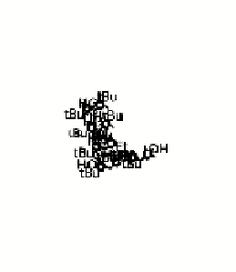 CC(C)(C)c1cc(Cc2cc(C(C)(C)C)c(O)c(C(C)(C)C)c2)cc(C(C)(C)C)c1O.CCc1cc(Cc2cc(CC)cc(C(C)(C)C)c2O)c(O)c(C(C)(C)C)c1.Cc1cc(Cc2cc(C)c(O)c(C)c2)cc(C)c1O.Cc1cc(Cc2cc(C)cc(C(C)(C)C)c2O)c(O)c(C(C)(C)C)c1.Cc1cc(Sc2cc(C)cc(C(C)(C)C)c2O)c(O)c(C(C)(C)C)c1